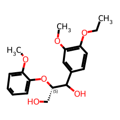 CCOc1ccc(C(O)[C@H](CO)Oc2ccccc2OC)cc1OC